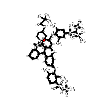 CCC(C)(C)C(=O)OC1CCN(S(=O)(=O)c2ccccc2-c2c3cc/c(=N\c4c(C)ccc(S(=O)(=O)NS(C)(=O)=O)c4C)cc-3oc3cc(Nc4c(C)cc(S(=O)(=O)C(S(C)(=O)=O)S(=O)(=O)C(F)(F)F)cc4C)ccc23)CC1